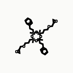 C[Si]1(CCCOCC2CO2)O[Si](C)(CCC2CC3C=CC2C3)O[Si](C)(CCCOCC2CO2)O[Si](C)(CCC2CC3C=CC2C3)O1